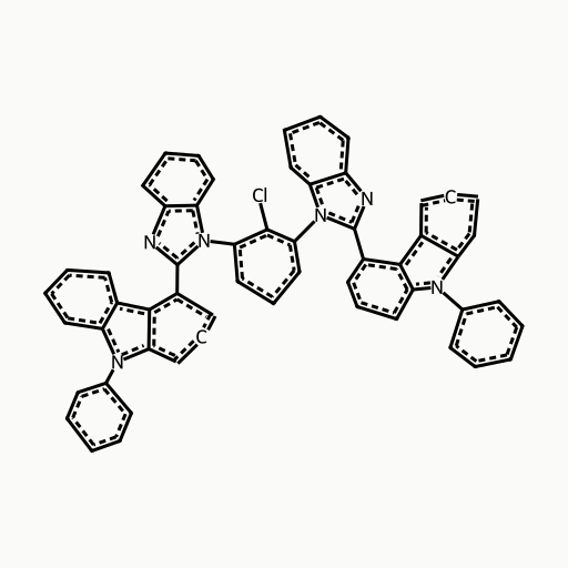 Clc1c(-n2c(-c3cccc4c3c3ccccc3n4-c3ccccc3)nc3ccccc32)cccc1-n1c(-c2cccc3c2c2ccccc2n3-c2ccccc2)nc2ccccc21